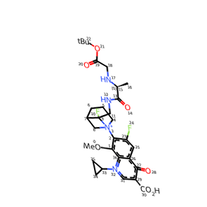 COc1c([N+]23CCCC(C2)C3(F)CNC(=O)[C@H](C)NCC(=O)OC(C)(C)C)c(F)cc2c(=O)c(C(=O)O)cn(C3CC3)c12